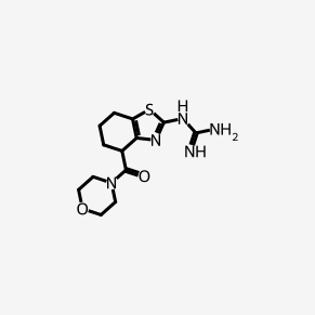 N=C(N)Nc1nc2c(s1)CCCC2C(=O)N1CCOCC1